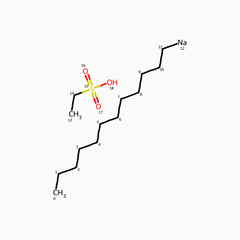 CCCCCCCCCCC[CH2][Na].CCS(=O)(=O)O